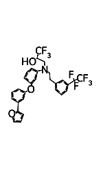 O[C@H](CN(CCc1cccc(C(F)(F)C(F)(F)F)c1)c1cccc(Oc2cccc(-c3ccco3)c2)c1)C(F)(F)F